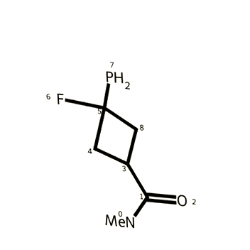 CNC(=O)C1CC(F)(P)C1